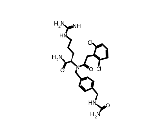 N=C(N)NCCC[C@H](C(N)=O)N(Cc1ccc(CNC(N)=O)cc1)C(=O)Cc1c(Cl)cccc1Cl